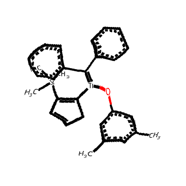 Cc1cc(C)cc([O][Ti]([C]2=C([Si](C)(C)C)C=CC2)=[C](c2ccccc2)c2ccccc2)c1